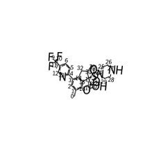 Cc1cc(-c2ccc(C(F)(F)F)cn2)c2c(c1)C(C(=O)O)(S(=O)(=O)N1CCNCC1)C(C)C2